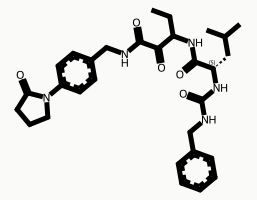 CCC(NC(=O)[C@H](CC(C)C)NC(=O)NCc1ccccc1)C(=O)C(=O)NCc1ccc(N2CCCC2=O)cc1